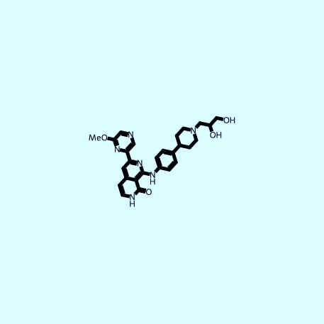 COc1cncc(-c2cc3cc[nH]c(=O)c3c(Nc3ccc(C4CCN(CC(O)CO)CC4)cc3)n2)n1